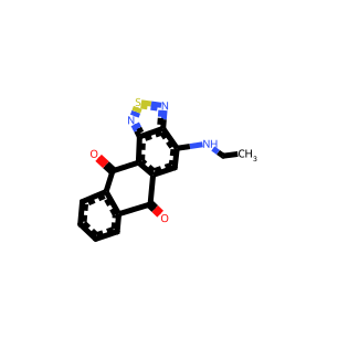 CCNc1cc2c(c3nsnc13)C(=O)c1ccccc1C2=O